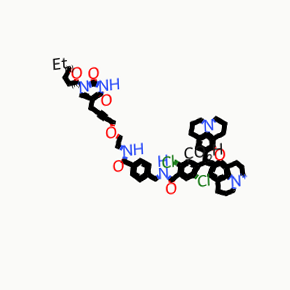 CC[C@@H]1CC[C@H](n2cc(CC#CCOCCNC(=O)c3ccc(CNC(=O)c4cc(Cl)c(C5=c6cc7c8c(c6Oc6c5cc5c9c6CCCN9CCC5)CCC[N+]=8CCC7)c(C(=O)O)c4Cl)cc3)c(=O)[nH]c2=O)O1